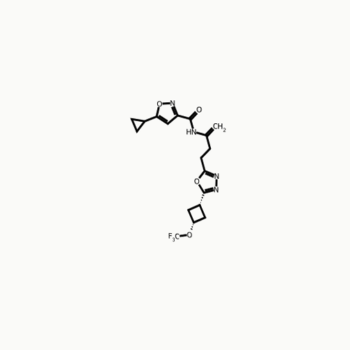 C=C(CCc1nnc([C@H]2C[C@@H](OC(F)(F)F)C2)o1)NC(=O)c1cc(C2CC2)on1